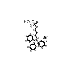 O=C(O)C(F)(F)CCCCC[P+](c1ccccc1)(c1ccccc1)c1ccccc1.[Br-]